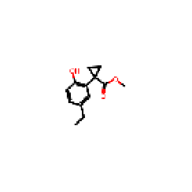 CCc1ccc(O)c(C2(C(=O)OC)CC2)c1